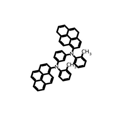 Cc1ccccc1N(c1cccc(N(c2ccccc2C)c2ccc3ccc4cccc5ccc2c3c45)c1)c1ccc2c3c4c(ccc13)CC=CC4=CC2